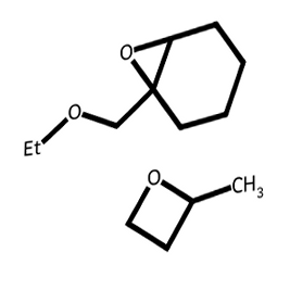 CC1CCO1.CCOCC12CCCCC1O2